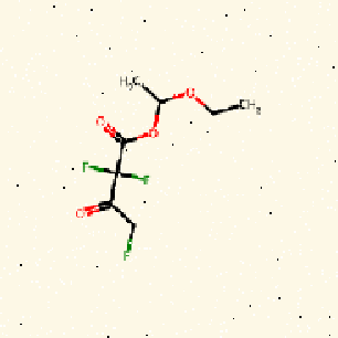 CCOC(C)OC(=O)C(F)(F)C(=O)CF